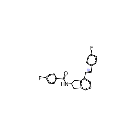 O=C(NC1Cc2cccc(/C=C/c3ccc(F)cc3)c2C1)c1ccc(F)cc1